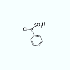 O=S(=O)(O)P(Cl)c1ccccc1